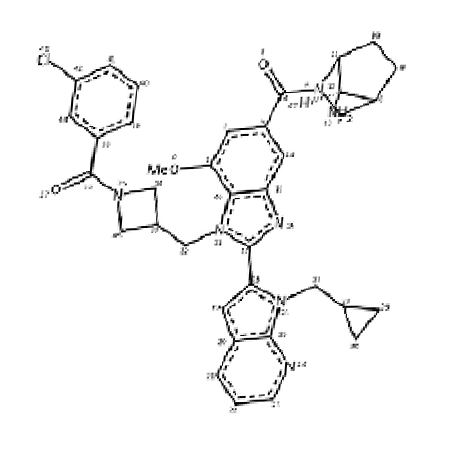 COc1cc(C(=O)N2CC3CCC2[C@@H]3N)cc2nc(-c3cc4cccnc4n3CC3CC3)n(CC3CN(C(=O)c4cccc(Cl)c4)C3)c12